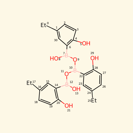 CCc1ccc(O)c(B(O)OB(OB(O)c2cc(CC)ccc2O)c2cc(CC)ccc2O)c1